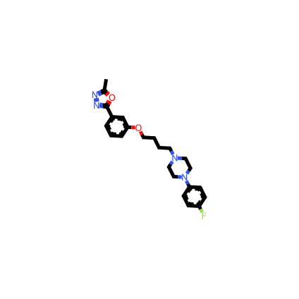 Cc1nnc(-c2cccc(OCCCCN3CCN(c4ccc(F)cc4)CC3)c2)o1